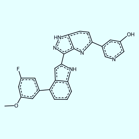 COc1cc(F)cc(-c2cccc3[nH]c(-c4n[nH]c5ccc(-c6cncc(O)c6)nc45)cc23)c1